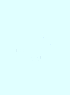 C=C(C)C(=O)OCC(C(=O)O)C(=O)O